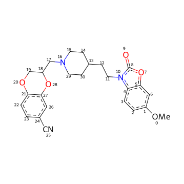 COc1ccc2c(c1)oc(=O)n2CCC1CCN(CC2COc3ccc(C#N)cc3O2)CC1